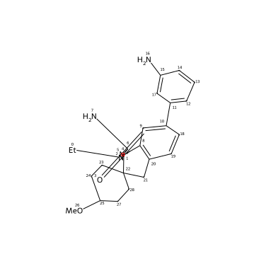 CCN1C(=O)C2(N=C1N)c1cc(-c3cccc(N)c3)ccc1CC21CCC(OC)CC1